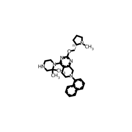 CN1CCC[C@H]1COc1nc2c(c(N3CCNCC3(C)C)n1)CCN(c1cccc3ccccc13)C2